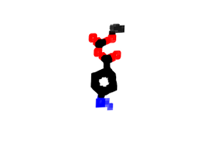 CC(C)(C)OC(=O)OC(=O)c1ccc(N)cc1